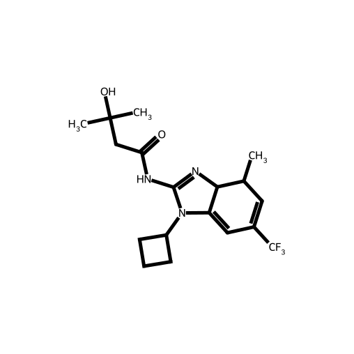 CC1C=C(C(F)(F)F)C=C2C1N=C(NC(=O)CC(C)(C)O)N2C1CCC1